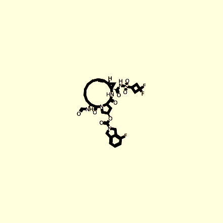 O=CN[C@H]1CCCCC/C=C\[C@@H]2C[C@@]2(C(=O)NS(=O)(=O)C2CC(F)(F)C2)NC(=O)C2C[C@@H](OC(=O)N3Cc4cccc(F)c4C3)CN2C1=O